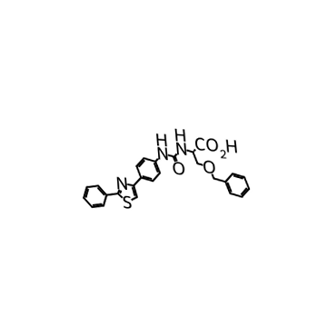 O=C(Nc1ccc(-c2csc(-c3ccccc3)n2)cc1)N[C@H](COCc1ccccc1)C(=O)O